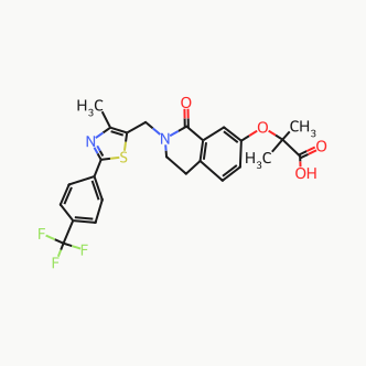 Cc1nc(-c2ccc(C(F)(F)F)cc2)sc1CN1CCc2ccc(OC(C)(C)C(=O)O)cc2C1=O